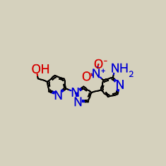 Nc1nccc(-c2cnn(-c3ccc(CO)cn3)c2)c1[N+](=O)[O-]